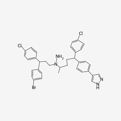 CC(CCC(c1ccc(Cl)cc1)c1ccc(-c2cn[nH]c2)cc1)N(N)CCC(c1ccc(Cl)cc1)c1ccc(Br)cc1